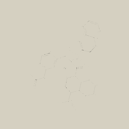 N[C@@](Cc1cccc(NC(=O)S)c1)(C(=O)N1CCC(C(=O)O)C2CCCCC21)S(=O)(=O)c1ccc2ccccc2c1